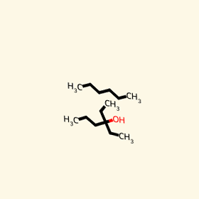 CCCC(O)(CC)CC.CCCCCC